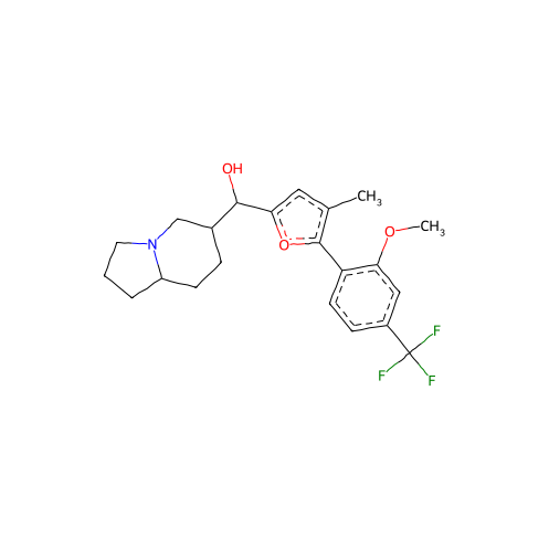 COc1cc(C(F)(F)F)ccc1-c1oc(C(O)C2CCC3CCCN3C2)cc1C